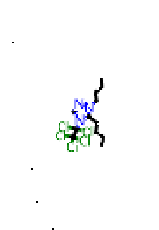 CCCCC1N(CCCC)N=CN1C(Cl)(Cl)C(Cl)(Cl)Cl